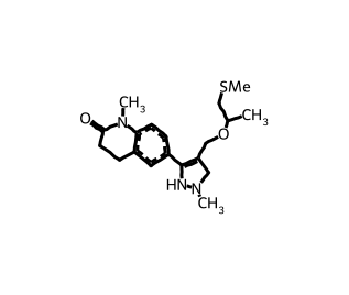 CSCC(C)OCC1=C(c2ccc3c(c2)CCC(=O)N3C)NN(C)C1